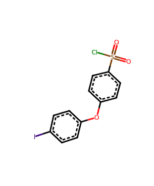 O=S(=O)(Cl)c1ccc(Oc2ccc(I)cc2)cc1